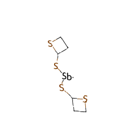 C1CC([S][Sb][S]C2CCS2)S1